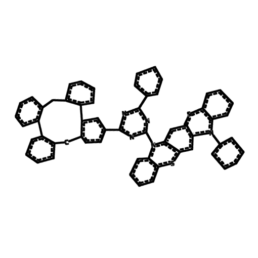 c1ccc(-c2nc(-c3ccc4c(c3)-c3ccccc3Cc3ccccc3-c3ccccc3C4)nc(-n3c4ccccc4sc4cc5c(cc43)sc3ccccc3n5-c3ccccc3)n2)cc1